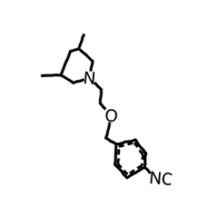 [C-]#[N+]c1ccc(COCCN2CC(C)CC(C)C2)cc1